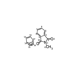 CN1C(=O)c2ccccc2C1=O.c1cc2ccc1o2